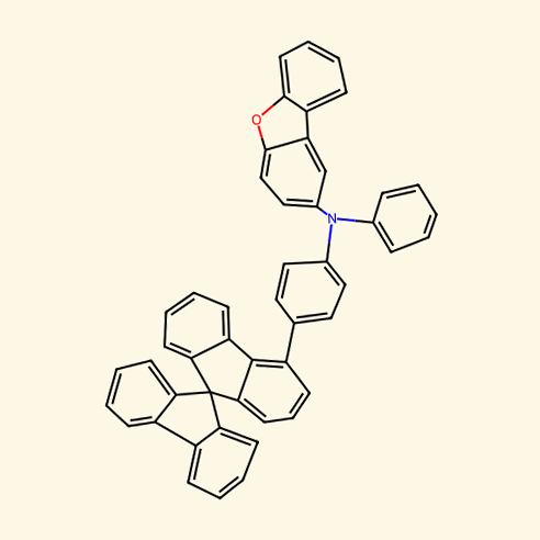 c1ccc(N(c2ccc(-c3cccc4c3-c3ccccc3C43c4ccccc4-c4ccccc43)cc2)c2ccc3oc4ccccc4c3c2)cc1